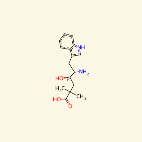 CC(C)(C[C@@H](O)C(N)Cc1c[nH]c2ccccc12)C(=O)O